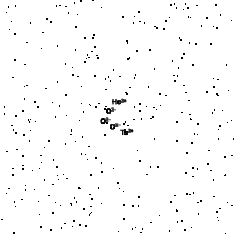 [Ho+3].[O-2].[O-2].[O-2].[Tb+3]